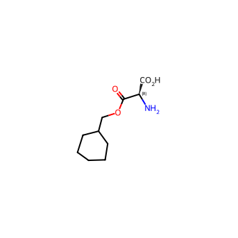 N[C@H](C(=O)O)C(=O)OCC1CCCCC1